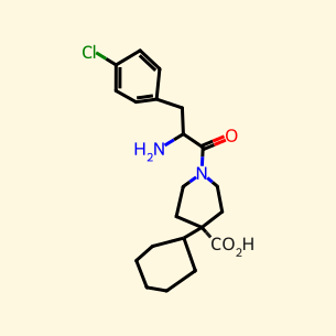 NC(Cc1ccc(Cl)cc1)C(=O)N1CCC(C(=O)O)(C2CCCCC2)CC1